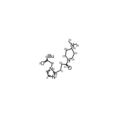 CCC(C)C(=O)Cn1ccnc1CCC(=O)N1CCC(N(C)C)CC1